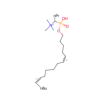 CCCC/C=C\CCCC/C=C\CCCCOP(=O)(O)C(CCC)[N+](C)(C)C